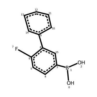 OB(O)c1ccc(F)c(-c2ccccc2)c1